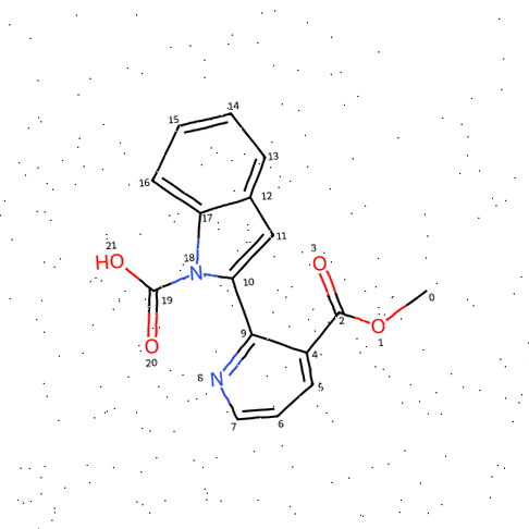 COC(=O)c1cccnc1-c1cc2ccccc2n1C(=O)O